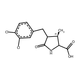 C[C@@H]1C(Cc2ccc(Cl)c(Cl)c2)C(=O)NC1C(=O)O